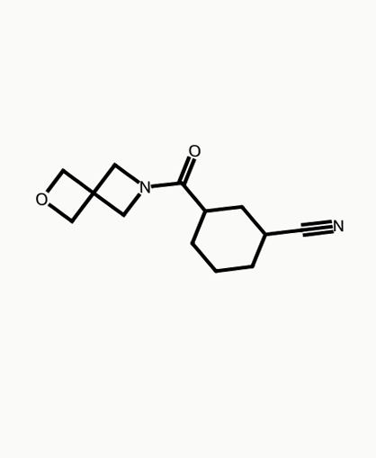 N#CC1CCCC(C(=O)N2CC3(COC3)C2)C1